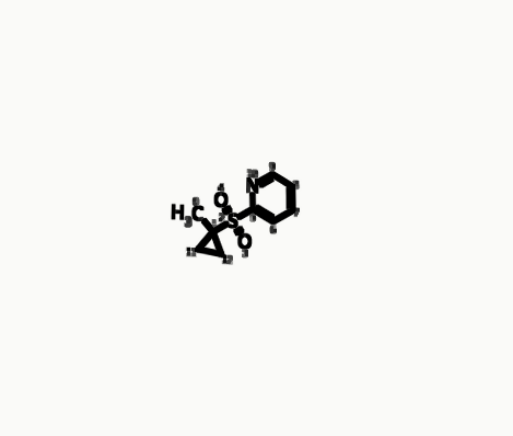 CC1(S(=O)(=O)c2ccccn2)CC1